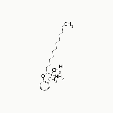 CCCCCCCCCCCCC(Oc1ccccc1)C(C)(C)N.I